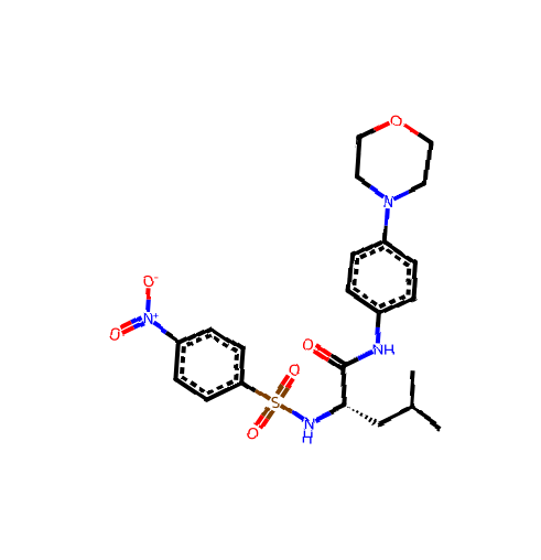 CC(C)C[C@H](NS(=O)(=O)c1ccc([N+](=O)[O-])cc1)C(=O)Nc1ccc(N2CCOCC2)cc1